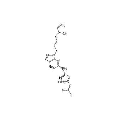 C=CC(O)CCCCn1ncc2ncc(Nc3cc(OC(F)F)[nH]n3)nc21